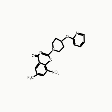 O=c1nc(N2CCC(Oc3ccccn3)CC2)sc2c([N+](=O)[O-])cc(C(F)(F)F)cc12